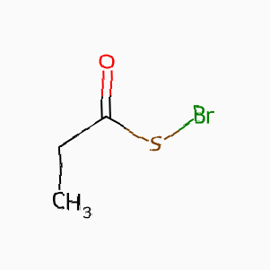 CCC(=O)SBr